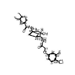 Cc1ncc(C(=O)NC23CC(=C(NC(=O)COc4ccc(Cl)c(F)c4)[C@@H](O)C2)C3)nc1C